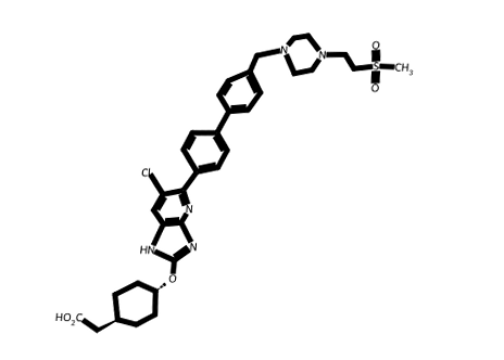 CS(=O)(=O)CCN1CCN(Cc2ccc(-c3ccc(-c4nc5nc(O[C@H]6CC[C@H](CC(=O)O)CC6)[nH]c5cc4Cl)cc3)cc2)CC1